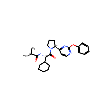 CN[C@@H](C)C(=O)N[C@H](C(=O)N1CCC[C@H]1c1ccnc(Oc2ccccc2)n1)C1CCCCC1